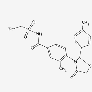 Cc1ccc(C2SCC(=O)N2c2ccc(C(=O)NS(=O)(=O)CC(C)C)cc2C)cc1